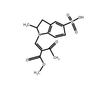 COC(=O)C(=CN1c2ccc(S(=O)(=O)O)cc2CC1C)C(C)=O